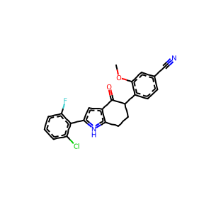 COc1cc(C#N)ccc1C1CCc2[nH]c(-c3c(F)cccc3Cl)cc2C1=O